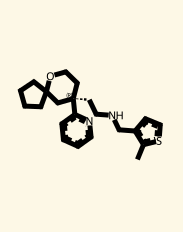 Cc1sccc1CNCC[C@@]1(c2ccccn2)CCOC2(CCCC2)C1